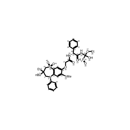 CCCCC1(CC)CN(c2ccccc2)c2cc(SC)c(OCC(=O)N[C@@H](C(=O)NC(O)(OCC)[PH2]=O)c3ccccc3)cc2S(=O)(=O)C1